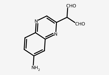 Nc1ccc2ncc(C(C=O)C=O)nc2c1